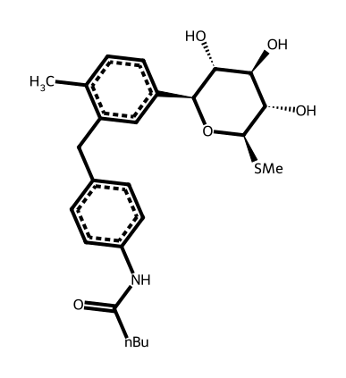 CCCCC(=O)Nc1ccc(Cc2cc([C@@H]3O[C@H](SC)[C@@H](O)[C@H](O)[C@H]3O)ccc2C)cc1